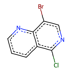 Clc1ncc(Br)c2ncccc12